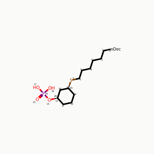 CCCCCCCCCCCCCCCCS[C@H]1CCC[C@@H](OP(=O)(O)O)C1